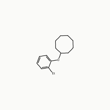 [CH2]Cc1ccccc1OC1CCCCCCC1